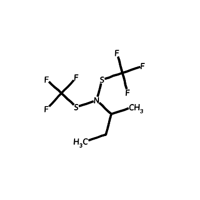 CCC(C)N(SC(F)(F)F)SC(F)(F)F